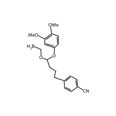 BCOC(CCCc1ccc(C#N)cc1)Oc1ccc(OC)c(OC)c1